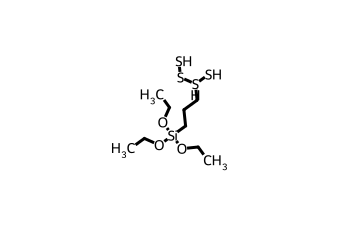 CCO[Si](CCC[SH](S)SS)(OCC)OCC